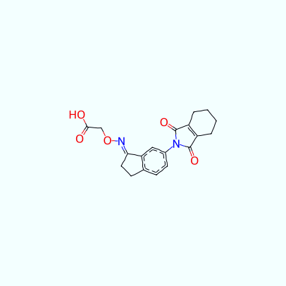 O=C(O)CON=C1CCc2ccc(N3C(=O)C4=C(CCCC4)C3=O)cc21